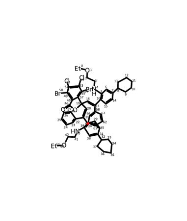 CCOCCNc1cc(C2CCCCC2)ccc1C(=CC1(C=C(c2ccccc2)c2ccc(C3CCCCC3)cc2NCCOCC)OC(=O)c2c(Br)c(Cl)c(Cl)c(Br)c21)c1ccccc1